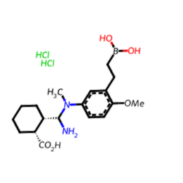 COc1ccc(N(C)C(N)[C@H]2CCCC[C@H]2C(=O)O)cc1CCB(O)O.Cl.Cl